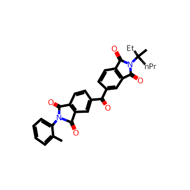 CCCC(C)(CC)N1C(=O)c2ccc(C(=O)c3ccc4c(c3)C(=O)N(c3ccccc3C)C4=O)cc2C1=O